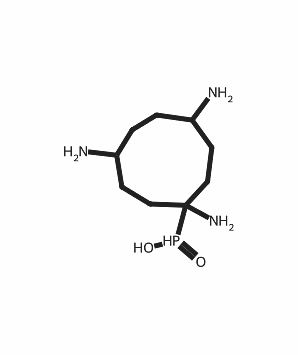 NC1CCC(N)CCC(N)([PH](=O)O)CC1